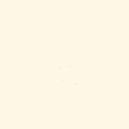 COC(=O)c1nccnc1NS(=O)(=O)Cc1c(F)cccc1C(F)(F)F